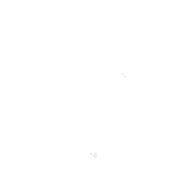 NC1=C(F)CC(N)(c2ccccc2Cl)C=C1